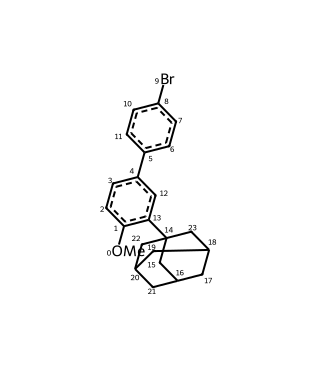 COc1ccc(-c2ccc(Br)cc2)cc1C12CC3CC(CC(C3)C1)C2